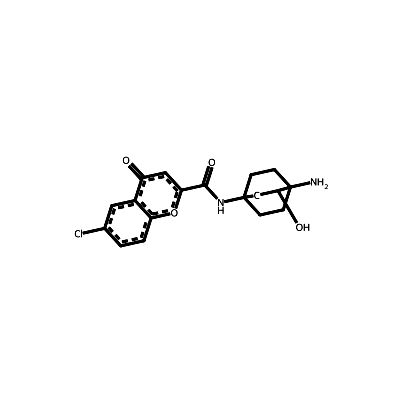 NC12CCC(NC(=O)c3cc(=O)c4cc(Cl)ccc4o3)(CC1)CC2O